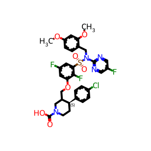 COc1ccc(CN(c2ncc(F)cn2)S(=O)(=O)c2cc(F)cc(OCC3CN(C(=O)O)CC[C@@H]3c3ccc(Cl)cc3)c2F)c(OC)c1